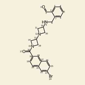 O=Cc1ccccc1CNC1CN(C2CN(C(=O)c3ccc4cc(Br)ccc4c3)C2)C1